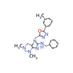 Cc1cccc(-c2nnc(Cn3c(NCc4ccccc4)nc4c3CN(C)CN4C)o2)c1